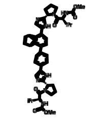 COC(=O)N[C@H](C(=O)N1CCC[C@H]1c1ncc(-c2ccc(-c3ccc(-c4cnc([C@@H]5CCCN5C(=O)[C@@H](NC(=O)OC)C(C)C)[nH]4)c4c3C3C=CC4C3)cc2)[nH]1)C(C)C